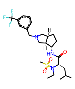 CCN([C@@H](CC(C)C)C(=O)N[C@H]1CC[C@@H]2CN(Cc3cccc(C(F)(F)F)c3)C[C@@H]21)S(C)(=O)=O